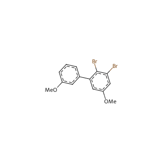 COc1cccc(-c2cc(OC)cc(Br)c2Br)c1